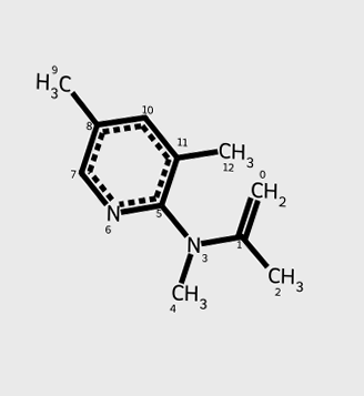 C=C(C)N(C)c1ncc(C)cc1C